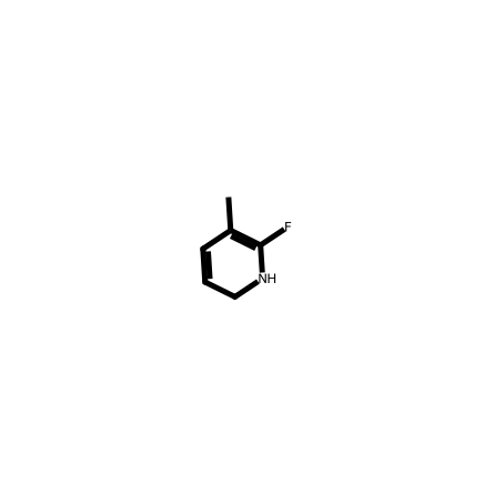 CC1=C(F)NCC=C1